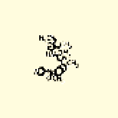 C=CC1=C(/C=C\C)OCC1NC(=O)CC(N)C1C(C)CC2CC1CC(C)(C(=O)Nc1ccncc1)C2